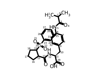 CC(C)C(=O)Nc1ccc(C[C@H](NC(=O)C2CCCC2S(=O)(=O)c2ccccc2)C(=O)O)cc1